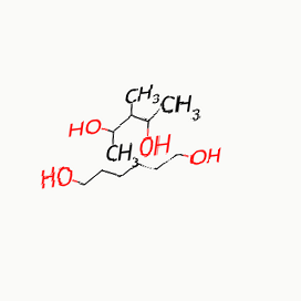 CC(O)C(C)C(C)O.OCCCCCCO